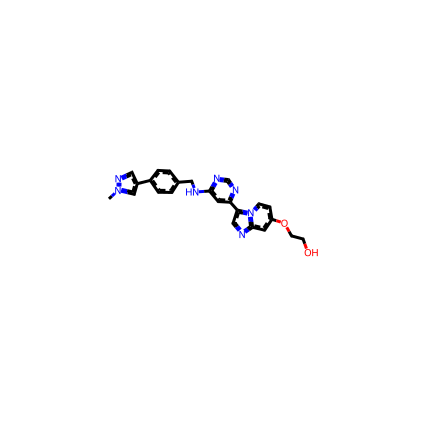 Cn1cc(-c2ccc(CNc3cc(-c4cnc5cc(OCCO)ccn45)ncn3)cc2)cn1